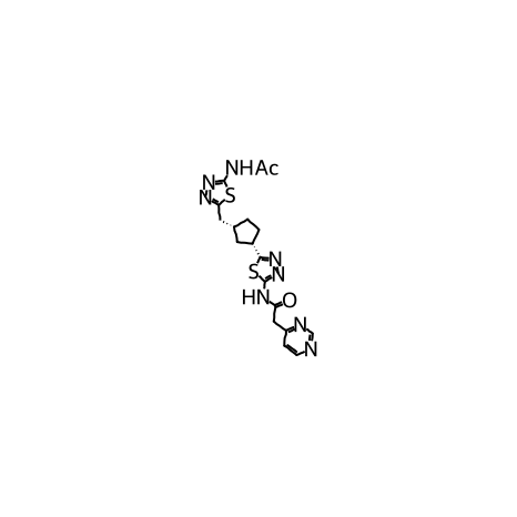 CC(=O)Nc1nnc(C[C@@H]2CC[C@H](c3nnc(NC(=O)Cc4ccncn4)s3)C2)s1